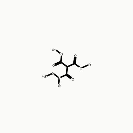 CC(C)OC(=O)C(C(=O)OC(C)C)C(=O)N(SS)C(C)C